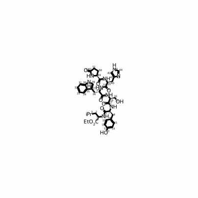 CCOC(=O)[C@@H](CC(C)C)NC(=O)[C@H](Cc1ccc(O)cc1)NC(=O)[C@H](CO)NC(=O)[C@H](Cc1c[nH]c2ccccc12)NC(=O)[C@H](Cc1c[nH]cn1)NC(=O)[C@@H]1CCC(=O)N1